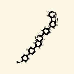 ISc1ccc(-c2ccc(-c3ccc4cc(-c5ccc(-c6ccc7oc8ncccc8c7c6)cc5)cnc4c3)cc2)cc1